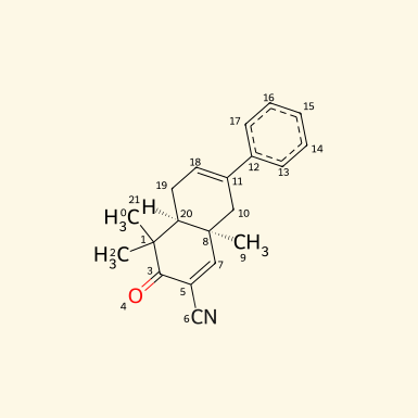 CC1(C)C(=O)C(C#N)=C[C@]2(C)CC(c3ccccc3)=CC[C@H]12